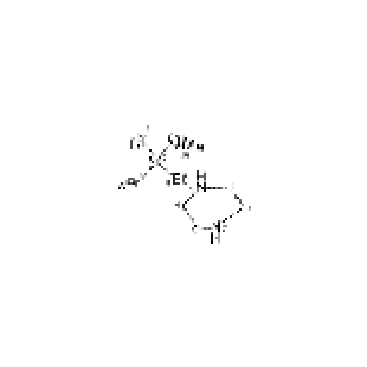 C1CNCCN1.CCC[Si](CC)(CCC)OC